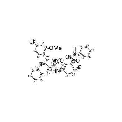 COc1cc(Cl)ccc1Oc1nc2ccccc2cc1C(=O)Nc1ccc(Cl)c(S(=O)(=O)Nc2ccccc2)c1OC